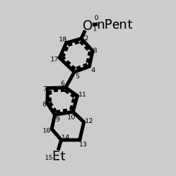 CCCCCOc1ccc(-c2ccc3c(c2)CCC(CC)C3)cc1